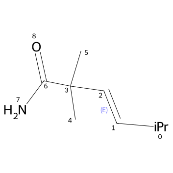 CC(C)/C=C/C(C)(C)C(N)=O